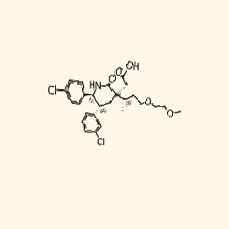 COCCOCC[C@H](C)[C@@]1(CC(=O)O)C[C@H](c2cccc(Cl)c2)[C@@H](c2ccc(Cl)cc2)NC1=O